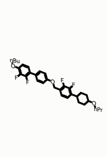 CCCCOc1ccc(-c2ccc(OCc3ccc(C4CCC(OCCC)CC4)c(F)c3F)cc2)c(F)c1F